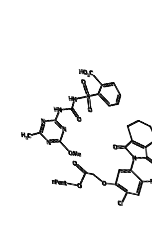 CCCCCOC(=O)COc1cc(N2C(=O)C3=C(CCCC3)C2=O)c(F)cc1Cl.COc1nc(C)nc(NC(=O)NS(=O)(=O)c2ccccc2C(=O)O)n1